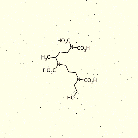 CC(CCN(C(=O)O)C(=O)O)N(CCCN(CCO)C(=O)O)C(=O)O